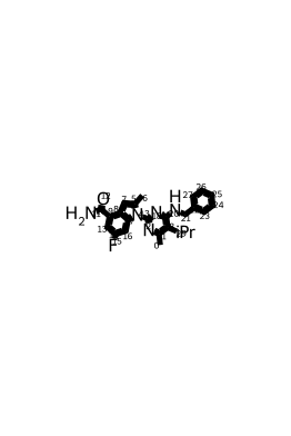 Cc1nc(-n2c(C)cc3c(C(N)=O)cc(F)cc32)nc(NCc2ccccc2)c1C(C)C